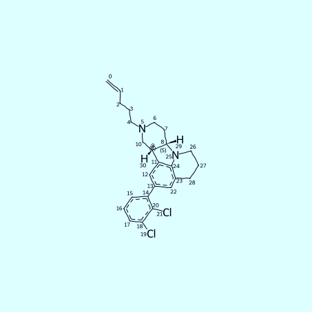 C=CCCCN1CC[C@H]2[C@@H](C1)c1cc(-c3cccc(Cl)c3Cl)cc3c1N2CCC3